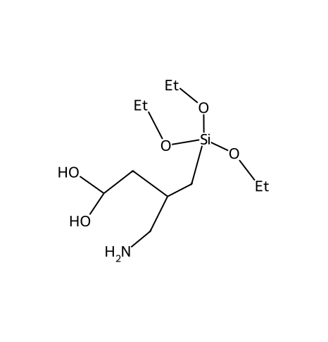 CCO[Si](CC(CN)CC(O)O)(OCC)OCC